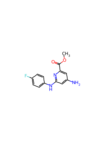 COC(=O)c1cc(N)cc(Nc2ccc(F)cc2)n1